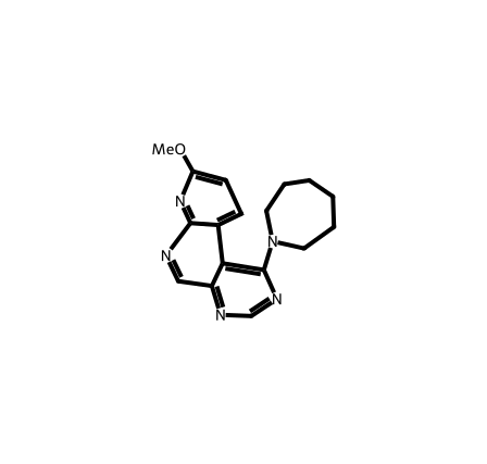 COc1ccc2c(ncc3ncnc(N4CCCCCC4)c32)n1